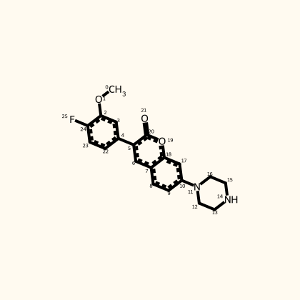 COc1cc(-c2cc3ccc(N4CCNCC4)cc3oc2=O)ccc1F